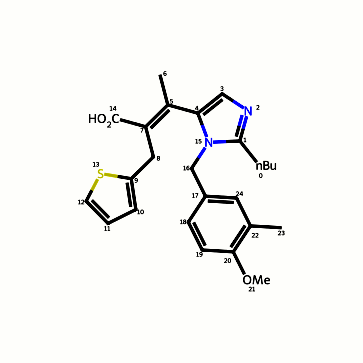 CCCCc1ncc(C(C)=C(Cc2cccs2)C(=O)O)n1Cc1ccc(OC)c(C)c1